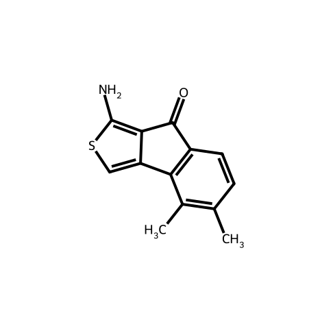 Cc1ccc2c(c1C)-c1csc(N)c1C2=O